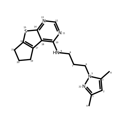 Cc1cc(C)n(CCCNc2ncnc3sc4c(c23)CCC4)n1